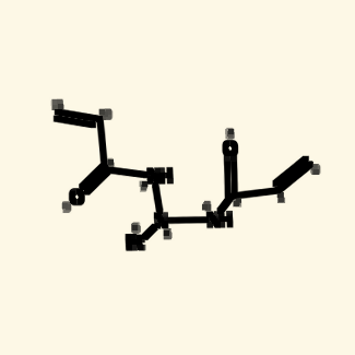 C=CC(=O)NN(CC)NC(=O)C=C